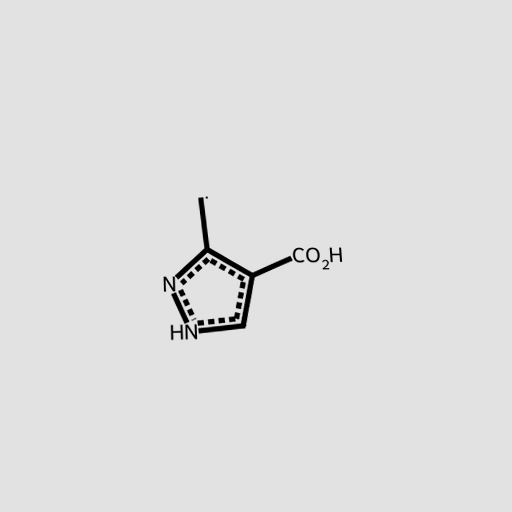 [CH2]c1n[nH]cc1C(=O)O